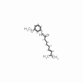 COc1[c]ccc(CNC(=O)CCCC/C=C/C(C)C)c1